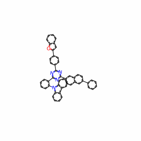 c1ccc(-c2ccc3cc(-c4nc(-c5ccc(-c6cc7ccccc7o6)cc5)nc(-c5ccccc5-n5c6ccccc6c6ccccc65)n4)ccc3c2)cc1